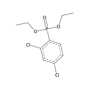 CCOP(=O)(OCC)c1ccc(Cl)cc1Cl